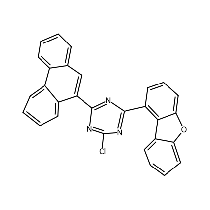 Clc1nc(-c2cc3ccccc3c3ccccc23)nc(-c2cccc3oc4ccccc4c23)n1